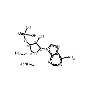 CNC(C)=O.Nc1ncnc2c1ncn2[C@@H]1O[C@H](CO)[C@@H](OP(=O)(O)O)[C@H]1O